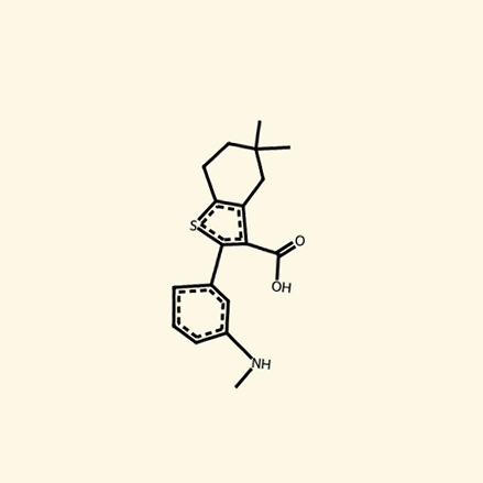 CNc1cccc(-c2sc3c(c2C(=O)O)CC(C)(C)CC3)c1